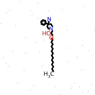 CCCCCCCCCCCCCCCCOCC(O)CN1CCC(C#N)(c2ccccc2)CC1